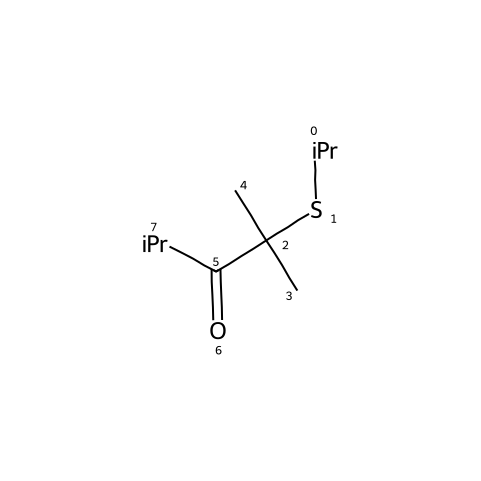 CC(C)SC(C)(C)C(=O)C(C)C